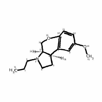 CCCN1CC[C@@H]2c3cc(OC)ccc3OC[C@@H]21